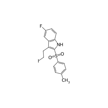 Cc1ccc(S(=O)(=O)c2[nH]c3ccc(F)cc3c2CCI)cc1